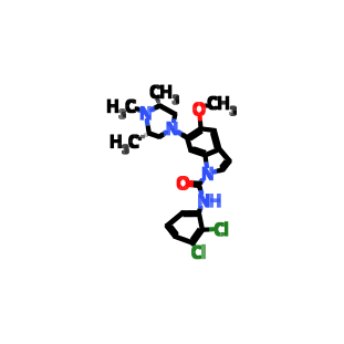 COc1cc2ccn(C(=O)Nc3cccc(Cl)c3Cl)c2cc1N1C[C@@H](C)N(C)[C@@H](C)C1